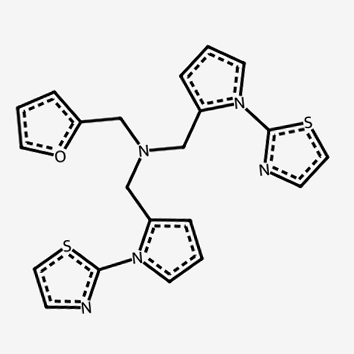 c1coc(CN(Cc2cccn2-c2nccs2)Cc2cccn2-c2nccs2)c1